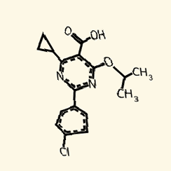 CC(C)Oc1nc(-c2ccc(Cl)cc2)nc(C2CC2)c1C(=O)O